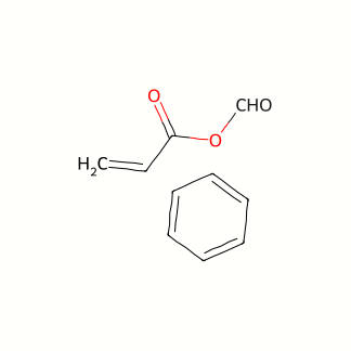 C=CC(=O)OC=O.c1ccccc1